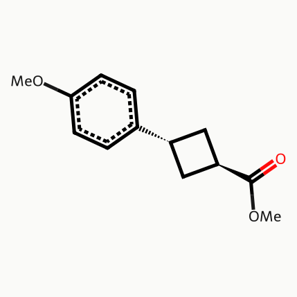 COc1ccc([C@H]2C[C@H](C(=O)OC)C2)cc1